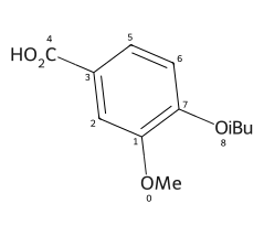 COc1cc(C(=O)O)ccc1OCC(C)C